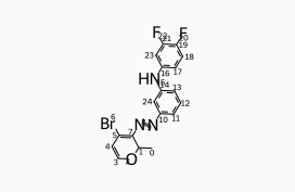 CC1OC=CC(Br)=C1N=Nc1cccc(Nc2ccc(F)c(F)c2)c1